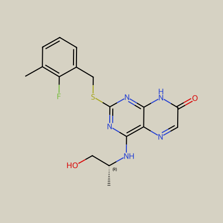 Cc1cccc(CSc2nc(N[C@H](C)CO)c3ncc(=O)[nH]c3n2)c1F